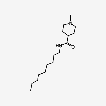 CCCCCCCCCNC(=O)C1CCN(C)CC1